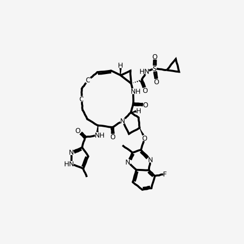 Cc1cc(C(=O)N[C@H]2CCCCCC=C[C@@H]3C[C@@]3(C(=O)NS(=O)(=O)C3CC3)NC(=O)[C@@H]3C[C@@H](Oc4nc5c(F)cccc5nc4C)CN3C2=O)n[nH]1